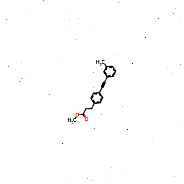 COC(=O)CCc1ccc(C#Cc2cccc(C)c2)cc1